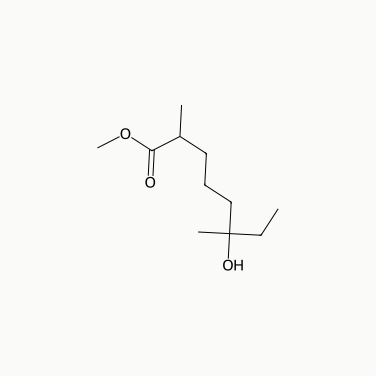 CCC(C)(O)CCCC(C)C(=O)OC